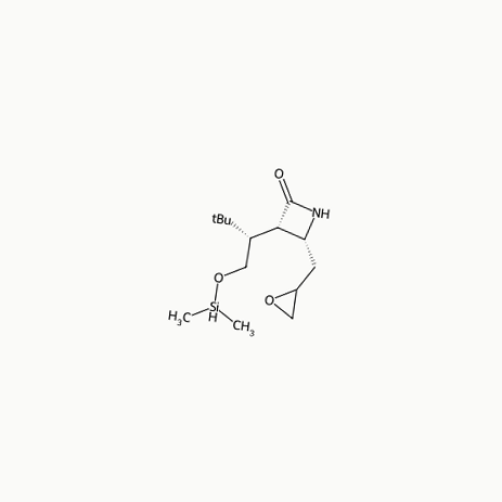 C[SiH](C)OC[C@@H]([C@@H]1C(=O)N[C@@H]1CC1CO1)C(C)(C)C